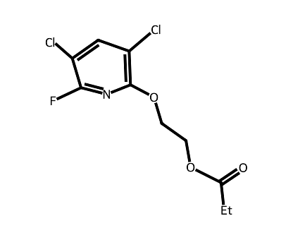 CCC(=O)OCCOc1nc(F)c(Cl)cc1Cl